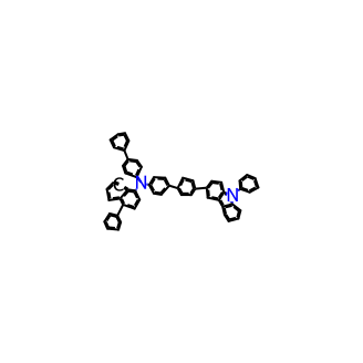 c1ccc(-c2ccc(N(c3ccc(-c4ccc(-c5ccc6c(c5)c5ccccc5n6-c5ccccc5)cc4)cc3)c3ccc(-c4ccccc4)c4ccccc34)cc2)cc1